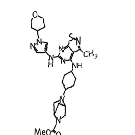 COC(=O)N1CC2CC1CN2C1CCC(Nc2nc(Nc3cnn(C4CCOCC4)c3)nc3snc(C)c23)CC1